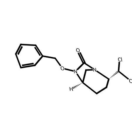 O=C1N2C[C@@H](CC[C@H]2C(Cl)Cl)N1OCc1ccccc1